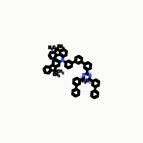 C=C(/N=C(\N=C(/N)c1cccc(-c2ccccc2)c1)c1cccc(-c2cccc(-c3cccc(N(c4ccc5c(c4)C(C)(C)c4ccccc4-5)c4cccc5c4-c4ccccc4C5(C)C)c3)c2)c1)c1cccc(-c2ccccc2)c1